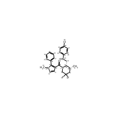 C[C@@H]1CC(F)(F)CN(C(=O)c2cnn(C)c2-c2ccccn2)[C@@H]1CNc1ncc(Cl)cn1